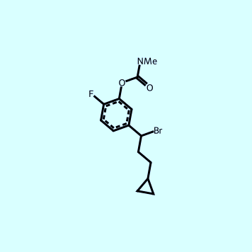 CNC(=O)Oc1cc(C(Br)CCC2CC2)ccc1F